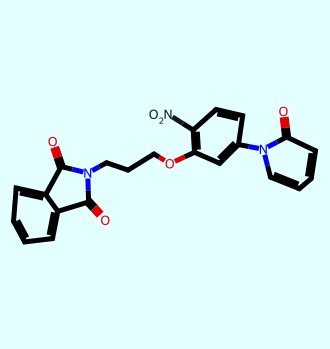 O=C1c2ccccc2C(=O)N1CCCOc1cc(-n2ccccc2=O)ccc1[N+](=O)[O-]